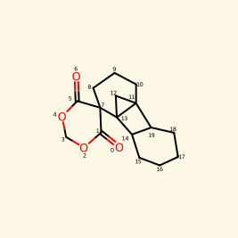 O=C1OCOC(=O)C12CCCC13CC21C1CCCCC13